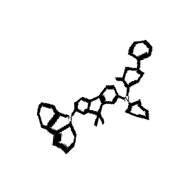 CC1CC(c2ccccc2)=CC=C1N(c1ccccc1)c1ccc2c(c1)C(C)(C)c1cc(-n3c4c(c5ccccc53)CCC=C4)ccc1-2